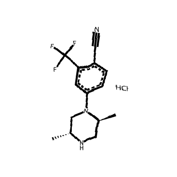 C[C@@H]1CN(c2ccc(C#N)c(C(F)(F)F)c2)[C@@H](C)CN1.Cl